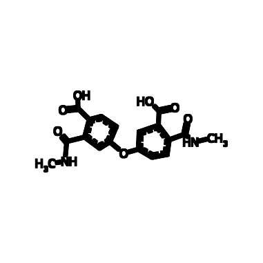 CNC(=O)c1ccc(Oc2ccc(C(=O)O)c(C(=O)NC)c2)cc1C(=O)O